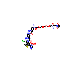 Cc1csc2c(C3CN(C)CCN3C(=O)O)cc3c(c12)[C@@H](CCl)CN3C(=O)c1cc2cc(NC(=O)c3cc4cc(NC(=O)CCOCCOCCOCOCCNC(=O)CCN5C(=O)C=CC5=O)ccc4[nH]3)ccc2[nH]1